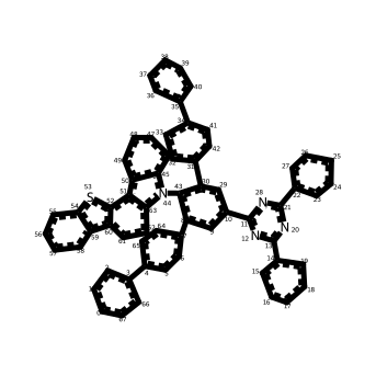 c1ccc(-c2ccc(-c3cc(-c4nc(-c5ccccc5)nc(-c5ccccc5)n4)cc(-c4ccc(-c5ccccc5)cc4)c3-n3c4ccccc4c4c5sc6ccccc6c5ccc43)cc2)cc1